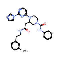 COc1cccc(CCNC(=O)CC2CN(C(=O)Nc3ccccc3)CCN2c2ccnc(-n3ccnc3)n2)c1